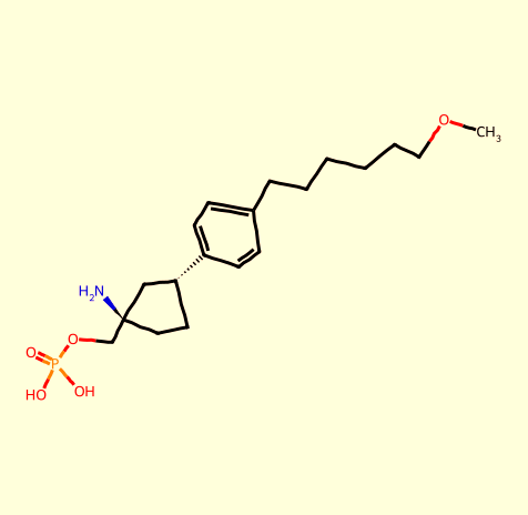 COCCCCCCc1ccc([C@@H]2CC[C@](N)(COP(=O)(O)O)C2)cc1